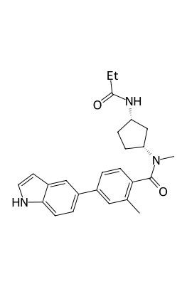 CCC(=O)N[C@H]1CC[C@@H](N(C)C(=O)c2ccc(-c3ccc4[nH]ccc4c3)cc2C)C1